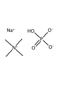 C[N+](C)(C)C.O=P([O-])([O-])O.[Na+]